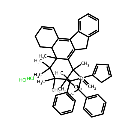 Cl.Cl.[CH2]=[Zr]([C]1=CC=CC1)([CH](C)c1ccccc1)([CH](C)c1ccccc1)[C]1(C)C2=C3Cc4ccccc4C3=C3C=CCCC3C2(C)C(C)(C)C(C)(C)C1(C)C